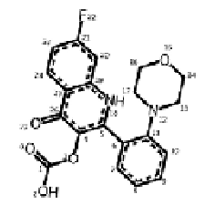 O=C(O)Oc1c(-c2ccccc2N2CCOCC2)[nH]c2cc(F)ccc2c1=O